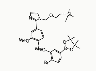 COc1cc(-c2nccn2COCC[Si](C)(C)C)ccc1Br.COc1cc(B2OC(C)(C)C(C)(C)O2)ccc1Br